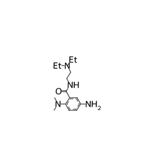 CCN(CC)CCNC(=O)c1cc(N)ccc1N(C)C